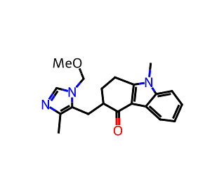 COCn1cnc(C)c1CC1CCc2c(c3ccccc3n2C)C1=O